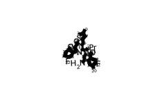 Cc1csc(Cn2c(C(C(C)C)N(CCN)C(=O)c3ccc(C)c(F)c3)nc3c(oc4ccc(F)cc43)c2=O)c1